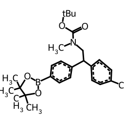 CN(CC(c1ccc(Cl)cc1)c1ccc(B2OC(C)(C)C(C)(C)O2)cc1)C(=O)OC(C)(C)C